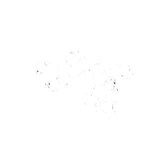 c1ccc(-c2cc3c(-c4ccc(-c5cc6cccnc6c6ncccc56)c5ccccc45)cccc3c3c2c(-c2ccccc2)nn3-c2ccccc2)cc1